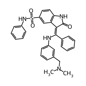 CN(C)Cc1cccc(NC(=C2C(=O)Nc3ccc(S(=O)(=O)Nc4ccccc4)cc32)c2ccccc2)c1